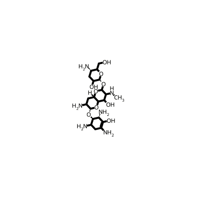 CNC1C(O[C@H]2OC(CO)[C@@H](N)CC2O)O[C@H]2CC(N)[C@@H](O[C@@H]3C(N)CC(N)=C(O)[C@H]3N)OC2C1O